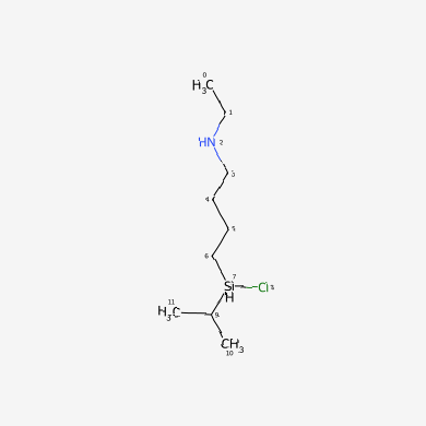 CCNCCCC[SiH](Cl)C(C)C